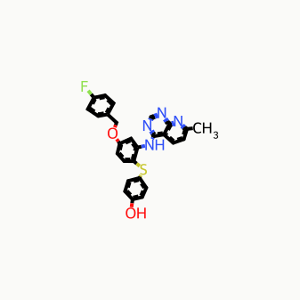 Cc1ccc2c(Nc3cc(OCc4ccc(F)cc4)ccc3Sc3ccc(O)cc3)ncnc2n1